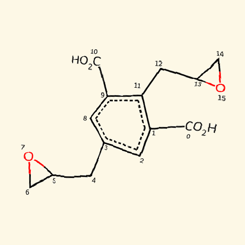 O=C(O)c1cc(CC2CO2)cc(C(=O)O)c1CC1CO1